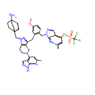 COc1ccc(Cn2ncc3c(OS(=O)(=O)C(F)(F)F)cc(C)nc32)c(Cc2nn(CC34CCC(N)(CC3)CC4)c3c2CN(c2cc(C)nc4[nH]ncc24)CC3)c1